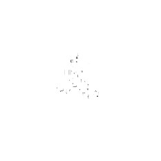 CCOC(C[SiH3])C(Nc1nc(C=[N+]=[N-])nc(NC(OCC)(OCC)C(C[SiH3])OCC)n1)(OCC)OCC